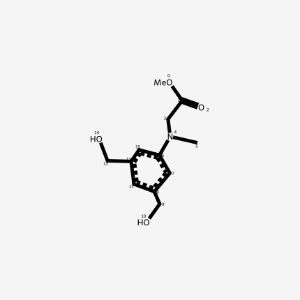 COC(=O)CN(C)c1cc(CO)cc(CO)c1